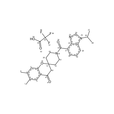 Cc1cc2c(cc1C)C(=O)CC1(CCN(C(=O)c3cccc4c3ncn4C(C)C)CC1)O2.O=C(O)C(F)(F)F